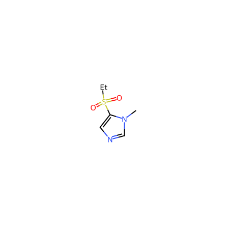 CCS(=O)(=O)c1cncn1C